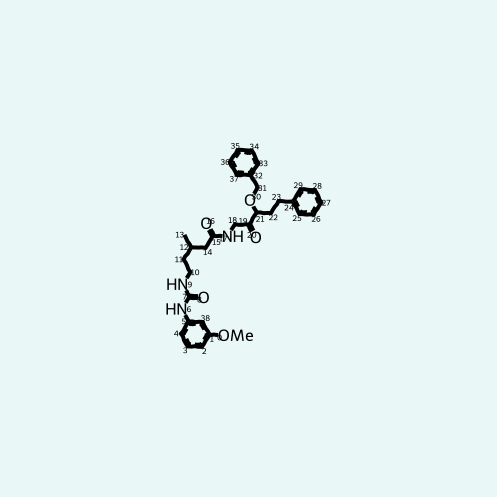 COc1cccc(NC(=O)NCCC(C)CC(=O)NCC(=O)C(CCc2ccccc2)OCc2ccccc2)c1